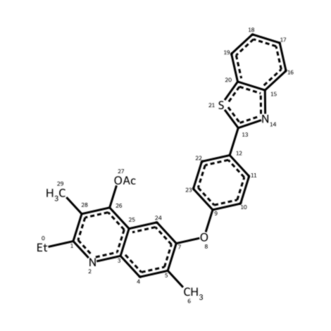 CCc1nc2cc(C)c(Oc3ccc(-c4nc5ccccc5s4)cc3)cc2c(OC(C)=O)c1C